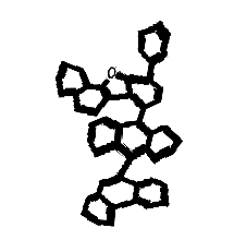 c1ccc(-c2ccc(-c3c4ccccc4c(-c4cc5ccccc5c5ccccc45)c4ccccc34)c3c2oc2c4ccccc4ccc23)cc1